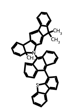 CC1(C)c2ccccc2-c2cc3c(cc21)N(c1c2ccccc2c(-c2cccc4c2sc2ccccc24)c2ccccc12)C1(C)C=CC=CC31